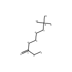 C=C(CC)CCCCC(C)(C)C